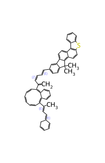 C=C(/C=C\C=C\c1ccc2c(c1)-c1ccc3c(ccc4sc5ccccc5c43)c1C2(C)C)c1ccccccc(/C(C)=C/C=C2/C=CC=CC2)c2ccccc12